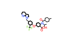 CC1CCC(C(=O)N(c2ccc(Oc3ccc(Cn4ccc5cccnc54)cc3C(F)(F)F)cc2C(=O)O)C(C)C)CC1